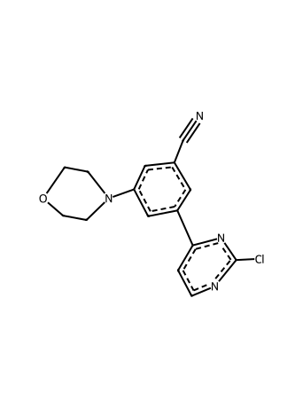 N#Cc1cc(-c2ccnc(Cl)n2)cc(N2CCOCC2)c1